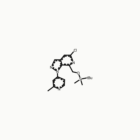 Cc1cc(-n2ncc3cc(Cl)nc(CO[Si](C)(C)C(C)(C)C)c32)ccn1